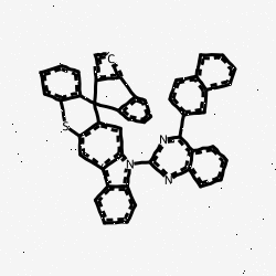 c1ccc2c(c1)Sc1cc3c4ccccc4n(-c4nc(-c5ccc6ccccc6c5)c5ccccc5n4)c3cc1C21c2ccccc2-c2ccccc21